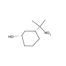 CC(C)([C@@H]1CCC[C@H](O)C1)[N+](=O)[O-]